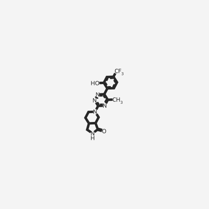 Cc1nc(N2CCC3CNC(=O)C3C2)nnc1-c1ccc(C(F)(F)F)cc1O